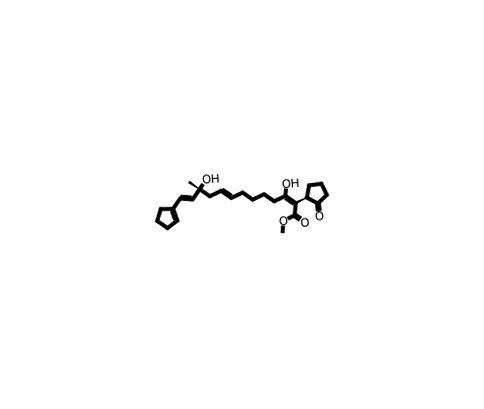 COC(=O)C(=C(O)CCCC/C=C/C[C@@](C)(O)/C=C/C1=CCCC1)[C@H]1CCCC1=O